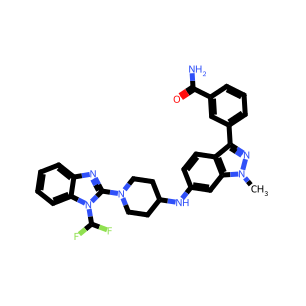 Cn1nc(-c2cccc(C(N)=O)c2)c2ccc(NC3CCN(c4nc5ccccc5n4C(F)F)CC3)cc21